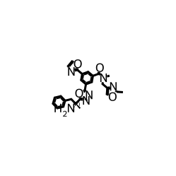 Cc1nc(CN(C)C(=O)c2cc(-c3ncco3)cc(-c3nnc([C@](C)(N)Cc4ccccc4)o3)c2)co1